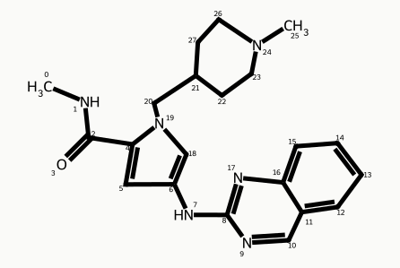 CNC(=O)c1cc(Nc2ncc3ccccc3n2)cn1CC1CCN(C)CC1